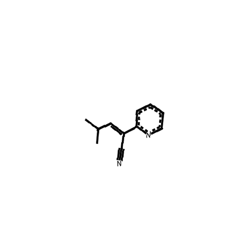 CC(C)C=C(C#N)c1ccccn1